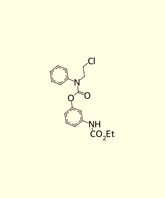 CCOC(=O)Nc1cccc(OC(=O)N(CCCl)c2ccccc2)c1